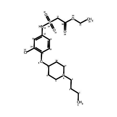 CCCCN1CCC(Oc2ccc(NS(=O)(=O)CC(=O)OCC)cc2Cl)CC1